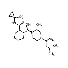 C=C/C=C(\C=C/C)N1CCN(C(O)[C@@H]2CCCC[C@H]2C(=O)NC2(N)CC2)[C@H](C)C1